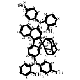 Cc1ccccc1N(c1ccc(C(C)(C)C)cc1)c1ccc2c(c1)C1(c3cc(N(c4ccc(C(C)(C)C)cc4)c4ccccc4C)c4ccccc4c3-2)C2CC3CC(C2)CC1C3